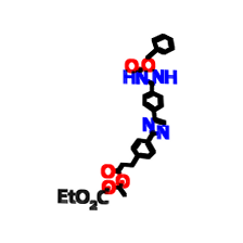 CCOC(=O)OC(C)OC(=O)CCc1ccc(-c2nc(-c3ccc(C(=N)NC(=O)OCc4ccccc4)cc3)cn2C)cc1